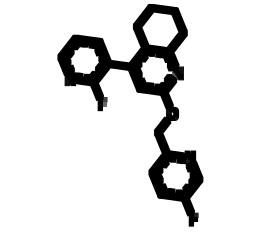 Fc1ccc(COc2cc(-c3cccnc3F)c3c(n2)CCCC3)nc1